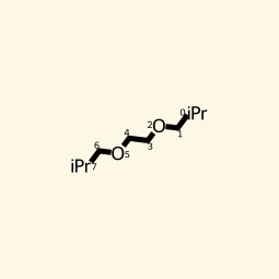 CC(C)COCCOCC(C)C